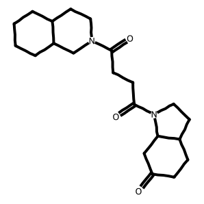 O=C1CCC2CCN(C(=O)CCC(=O)N3CCC4CCCCC4C3)C2C1